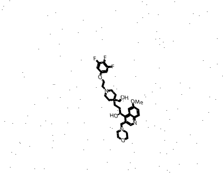 COc1ccc2ncc(CN3CCOCC3)c([C@@H](O)CCC3(CO)CCN(CCOc4cc(F)c(F)c(F)c4)CC3)c2c1